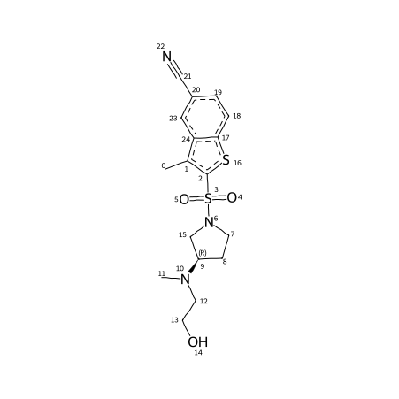 Cc1c(S(=O)(=O)N2CC[C@@H](N(C)CCO)C2)sc2ccc(C#N)cc12